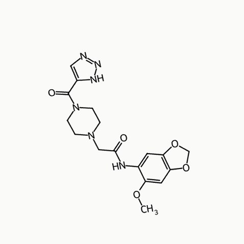 COc1cc2c(cc1NC(=O)CN1CCN(C(=O)c3cnn[nH]3)CC1)OCO2